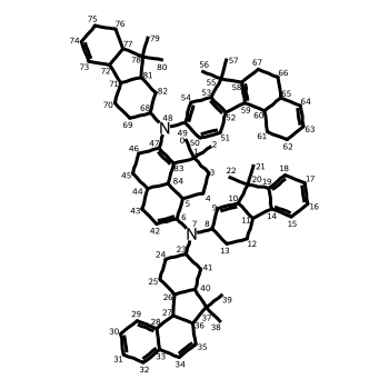 CC1(C)CCC2C(N(C3C=C4C(CC3)c3ccccc3C4(C)C)C3CCC4C5c6ccccc6C=CC5C(C)(C)C4C3)=CCC3CCC(N(c4ccc5c(c4)C(C)(C)C4=C5C5CCC=CC5CC4)C4CCC5C6C=CCCC6C(C)(C)C5C4)=C1C32